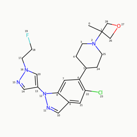 CC1(N2CCC(c3cc4c(cnn4-c4cnn(CCF)c4)cc3Cl)CC2)COC1